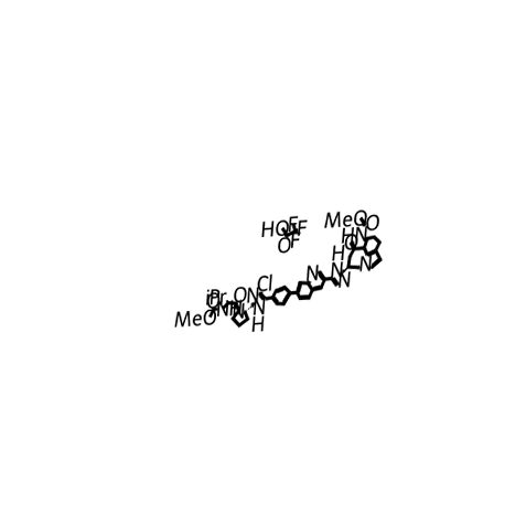 COC(=O)N[C@H]1CCc2ccn3c2C1C(=O)C[C@H](c1ncc(-c2cnc4cc(-c5ccc(-c6[nH]c([C@@H]7CCCN7C(=O)[C@@H](NC(=O)OC)C(C)C)nc6Cl)cc5)ccc4c2)[nH]1)C3.O=C(O)C(F)(F)F